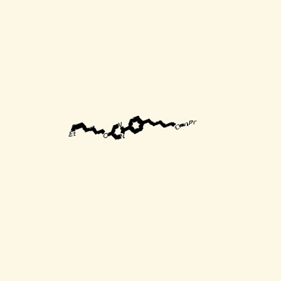 CC/C=C\CCCCOc1cnc(-c2ccc(CCCCCOCCC)cc2)nc1